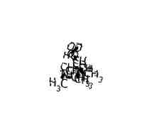 CC[N+](C)(CC)CC.CC[N+](C)(CC)CC.CO.O=C([O-])[O-]